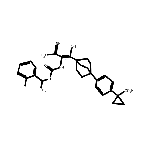 CC(=N)/C(NC(=O)OC(C)c1ccccc1Cl)=C(\O)C12CCC(c3ccc(C4(C(=O)O)CC4)cc3)(CC1)CC2